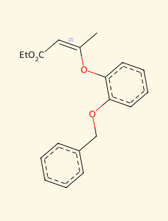 CCOC(=O)/C=C(/C)Oc1ccccc1OCc1ccccc1